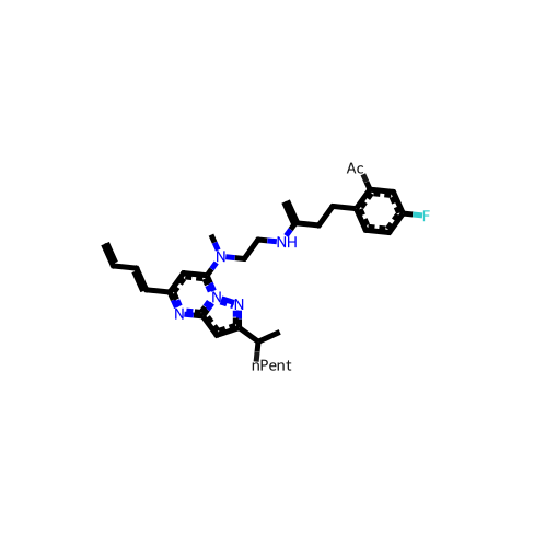 C=C/C=C/c1cc(N(C)CCNC(=C)CCc2ccc(F)cc2C(C)=O)n2nc(C(C)CCCCC)cc2n1